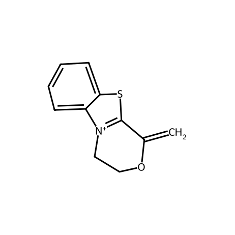 C=C1OCC[n+]2c1sc1ccccc12